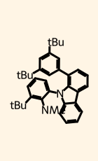 CNc1c(-n2c3ccccc3c3cccc(-c4cc(C(C)(C)C)cc(C(C)(C)C)c4)c32)cccc1C(C)(C)C